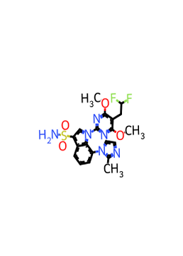 COc1nc(-n2cc(S(N)(=O)=O)c3cccc(-n4ccnc4C)c32)nc(OC)c1CC(F)F